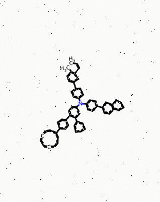 C/C=C\c1cc(-c2ccc(N(c3ccc(-c4ccc5ccccc5c4)cc3)c3ccc(-c4ccc(-c5ccccccccc5)cc4)c(-c4ccccc4)c3)cc2)ccc1C